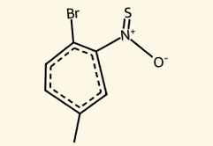 Cc1ccc(Br)c([N+]([O-])=S)c1